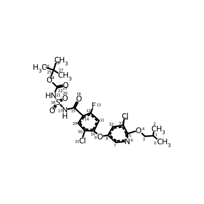 CC(C)COc1ncc(Oc2cc(F)c(C(=O)NS(=O)(=O)NC(=O)OC(C)(C)C)cc2Cl)cc1Cl